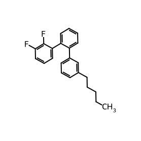 CCCCCc1cccc(-c2ccccc2-c2cccc(F)c2F)c1